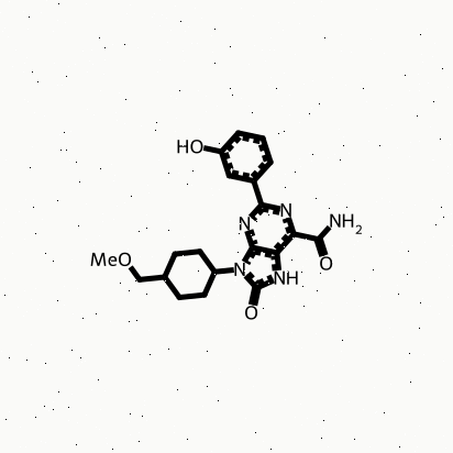 COCC1CCC(n2c(=O)[nH]c3c(C(N)=O)nc(-c4cccc(O)c4)nc32)CC1